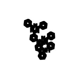 c1ccc(-c2nc(-c3ccccc3)nc(-c3cccc(-n4c5ccc6c7ccccc7[nH]c6c5c5c4nc(-c4ccccc4)n5-c4ccccc4)c3)n2)cc1